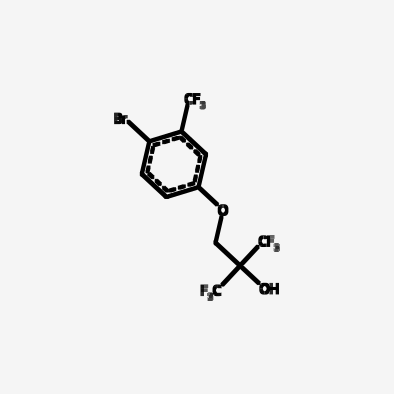 OC(COc1ccc(Br)c(C(F)(F)F)c1)(C(F)(F)F)C(F)(F)F